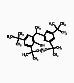 CC(c1[c]c(C(C)(C)C)cc(C(C)(C)C)c1)c1cc(C(C)(C)C)cc(C(C)(C)C)c1O